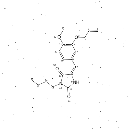 C=CCOc1cc(C=C2NC(=O)N(CCCC)C2=O)ccc1OC